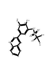 O=S(=O)(Oc1cc(-c2cnc3ccccc3c2)cc(F)c1F)C(F)(F)F